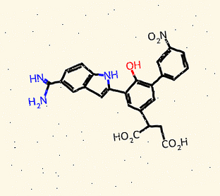 N=C(N)c1ccc2[nH]c(-c3cc(C(CC(=O)O)C(=O)O)cc(-c4cccc([N+](=O)[O-])c4)c3O)cc2c1